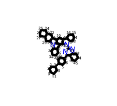 c1ccc(-c2ccc(-c3nc(-n4c5ccccc5c5cc6c7cc8ccccc8cc7n7c8ccccc8c(c54)c67)nc4ccccc34)cc2)cc1